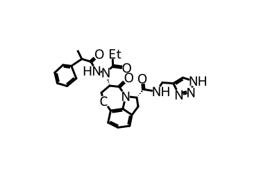 CCC(=O)N(NC(=O)C(C)c1ccccc1)[C@H]1CCc2cccc3c2N(C1=O)[C@H](C(=O)NCc1c[nH]nn1)C3